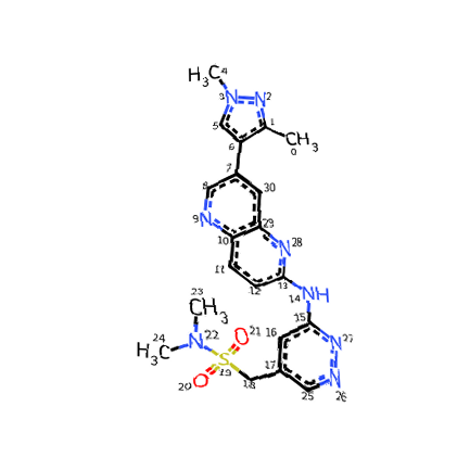 Cc1nn(C)cc1-c1cnc2ccc(Nc3cc(CS(=O)(=O)N(C)C)cnn3)nc2c1